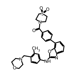 Cc1cc(Nc2nc3cccc(-c4ccc(C(=O)N5CCS(=O)(=O)CC5)cc4)c3o2)ccc1CN1CCOCC1